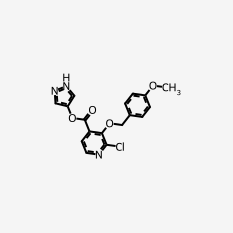 COc1ccc(COc2c(C(=O)Oc3cn[nH]c3)ccnc2Cl)cc1